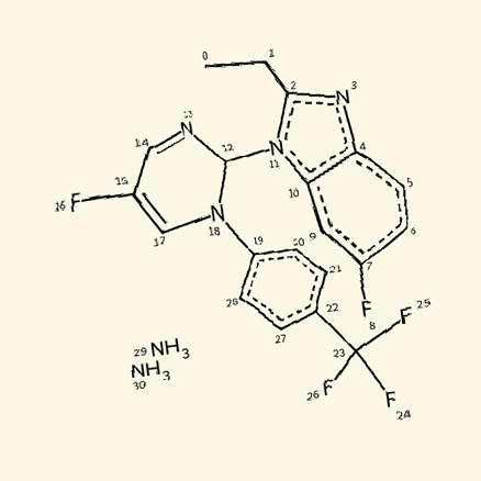 CCc1nc2ccc(F)cc2n1C1N=CC(F)=CN1c1ccc(C(F)(F)F)cc1.N.N